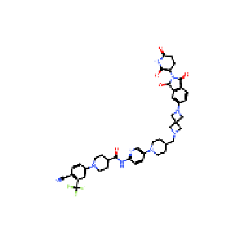 N#Cc1ccc(N2CCC(C(=O)Nc3ccc(N4CCC(CN5CC6(C5)CN(c5ccc7c(c5)C(=O)N(C5CCC(=O)NC5=O)C7=O)C6)CC4)cn3)CC2)cc1C(F)(F)F